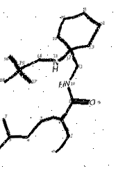 CCC(CCC(C)C)C(=O)NCC1(NCC(C)(C)C)CCCCC1